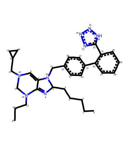 CCCCCC1N=C2C(=CN(CC3CC3)CN2CCC)N1Cc1ccc(-c2ccccc2-c2nnn[nH]2)cc1